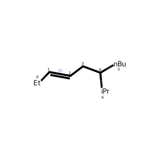 [CH2]C/C=C/CC(CCC[CH2])C(C)C